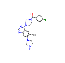 O=C(c1ccc(F)cc1)N1CCN(c2ncnc3cc(N4CCNCC4)c([N+](=O)[O-])cc23)CC1